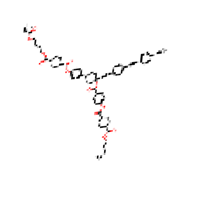 C#Cc1ccc(C#Cc2ccc(C#CC3(OC(=O)c4ccc(OC(=O)C5CCC(C(=O)OCCCC)CC5)cc4)CCC(c4ccc(OC(=O)C5CCC(C(=O)OCCCCOC(=O)C=C)CC5)cc4)CC3)cc2)cc1